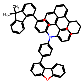 CC1(C)c2ccccc2-c2c(-c3ccc(N(c4ccc(-c5cccc6oc7ccccc7c56)cc4)c4ccccc4-c4cccc5cccc(C6CCCCC6)c45)cc3)cccc21